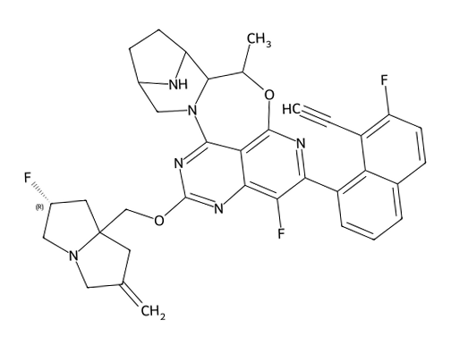 C#Cc1c(F)ccc2cccc(-c3nc4c5c(nc(OCC67CC(=C)CN6C[C@H](F)C7)nc5c3F)N3CC5CCC(N5)C3C(C)O4)c12